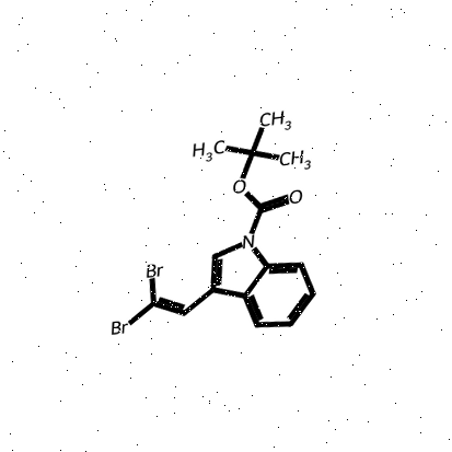 CC(C)(C)OC(=O)n1cc(C=C(Br)Br)c2ccccc21